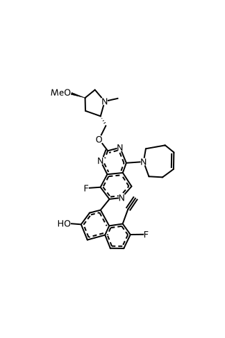 C#Cc1c(F)ccc2cc(O)cc(-c3ncc4c(N5CCC=CCC5)nc(OC[C@@H]5C[C@@H](OC)CN5C)nc4c3F)c12